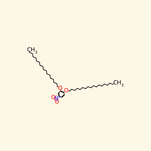 CCCCCCCCCCCCCCCCCCOc1ccc([N+](=O)[O-])cc1OCCCCCCCCCCCCCCCCCC